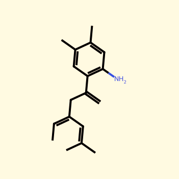 C=C(C/C(C=C(C)C)=C/C)c1cc(C)c(C)cc1N